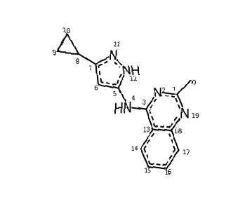 Cc1nc(Nc2cc(C3CC3)n[nH]2)c2ccccc2n1